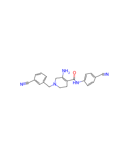 N#Cc1ccc(NC(=O)C2=C(N)CN(Cc3cccc(C#N)c3)CC2)cc1